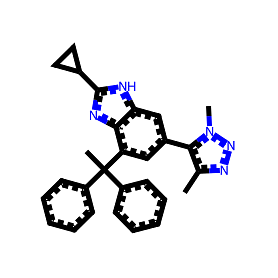 Cc1nnn(C)c1-c1cc(C(C)(c2ccccc2)c2ccccc2)c2nc(C3CC3)[nH]c2c1